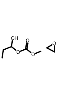 C1CO1.CCC(O)OC(=O)OC